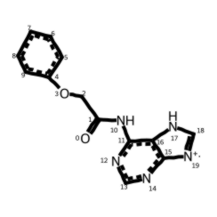 O=C(COc1ccccc1)Nc1ncnc2c1NC=[N+]2